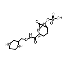 O=C(NOCC1CNCCN1)[C@@H]1CCC2CN1C(=O)N2OS(=O)(=O)O